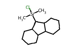 C[Si](C)(Cl)C1C2CCCCC2C2CCCCC21